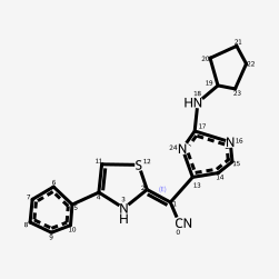 N#C/C(=C1\NC(c2ccccc2)=CS1)c1ccnc(NC2CCCC2)n1